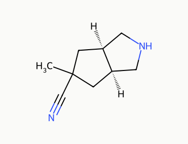 CC1(C#N)C[C@H]2CNC[C@H]2C1